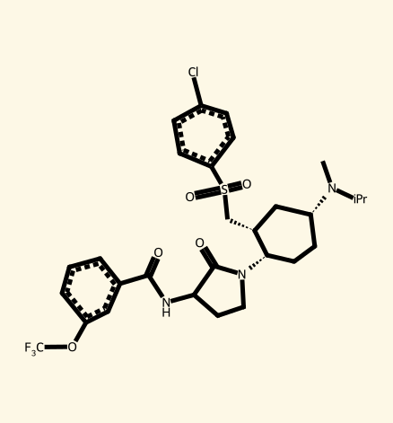 CC(C)N(C)[C@@H]1CC[C@H](N2CCC(NC(=O)c3cccc(OC(F)(F)F)c3)C2=O)[C@H](CS(=O)(=O)c2ccc(Cl)cc2)C1